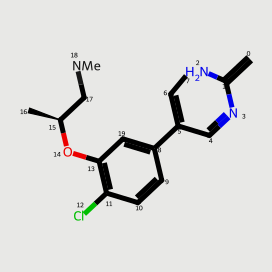 C=C(N)/N=C\C(=C/C)c1ccc(Cl)c(O[C@@H](C)CNC)c1